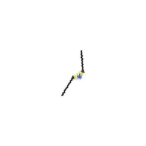 CCCCCCCCCCCCCCCC(C)(C)SSc1nnc(SSC(C)(C)CCCCCCCCCCCCCCC)s1